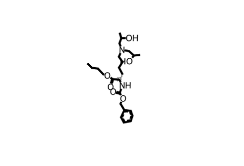 CCCCOC(=O)[C@H](CCCCN(CC(C)O)CC(C)O)NC(=O)OCc1ccccc1